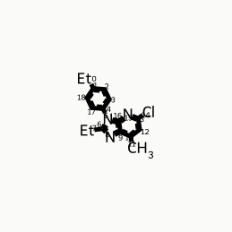 [CH2]Cc1ccc(-n2c(CC)nc3c(C)cc(Cl)nc32)cc1